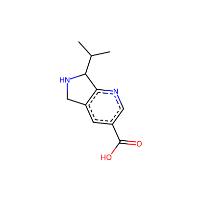 CC(C)C1NCc2cc(C(=O)O)cnc21